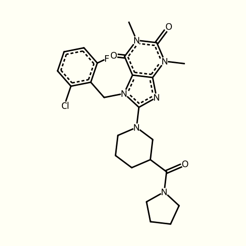 Cn1c(=O)c2c(nc(N3CCCC(C(=O)N4CCCC4)C3)n2Cc2c(F)cccc2Cl)n(C)c1=O